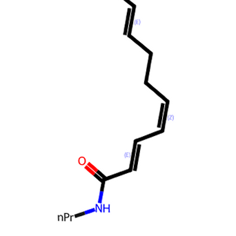 C/C=C/CC/C=C\C=C\C(=O)NCCC